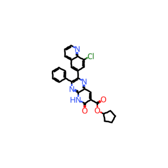 O=C(OC1CCCC1)c1cc2nc(-c3cc(Cl)c4ncccc4c3)c(-c3ccccc3)nc2[nH]c1=O